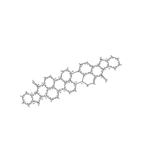 O=c1c2c3c4c(ccc3c3nc5ccccc5n13)-c1ccc3c5ccc6c(=O)n7c8ccccc8nc7c7ccc(c8ccc(c1c38)C4CC=2)c5c67